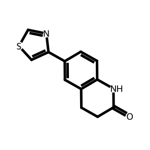 O=C1CCc2cc(-c3cscn3)ccc2N1